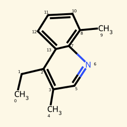 CCc1c(C)cnc2c(C)cccc12